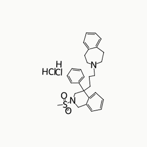 CS(=O)(=O)N1Cc2ccccc2C(CCCN2CCc3ccccc3CC2)(c2ccccc2)C1.Cl.Cl